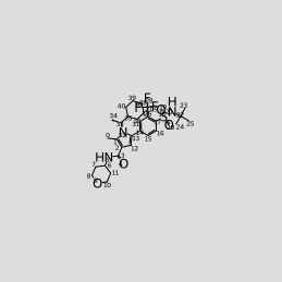 Cc1c(C(=O)NC2CCOCC2)cc(-c2ccc(S(=O)(=O)NC(C)(C)C)c(C(F)(F)F)c2)n1[C@@H](C)C1CCCCC1